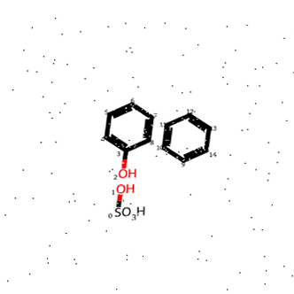 O=S(=O)(O)O.Oc1ccccc1.c1ccccc1